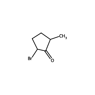 CC1CCC(Br)C1=O